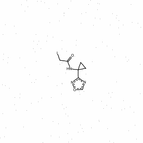 O=C(CI)NC1(c2ncon2)CC1